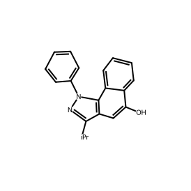 CC(C)c1nn(-c2ccccc2)c2c1cc(O)c1ccccc12